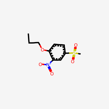 CCCOc1ccc(S(C)(=O)=O)cc1[N+](=O)[O-]